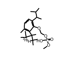 [2H]C(C)(C)C(C)(c1c(C)ccc(C(C)C(C)C)c1OCOP(=O)(O)OC)C([2H])(C)C